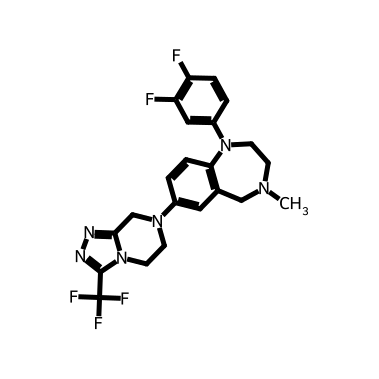 CN1CCN(c2ccc(F)c(F)c2)c2ccc(N3CCn4c(nnc4C(F)(F)F)C3)cc2C1